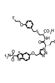 NS(=O)(=O)c1nc2ccc(OCc3cn([C@@H](CCO)C(=O)N[C@H](CSCc4cccc(OCCF)c4)C(=O)O)nn3)cc2s1